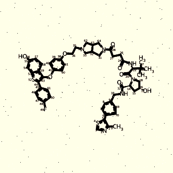 Cc1ncsc1-c1ccc(CNC(=O)[C@@H]2C[C@@H](O)CN2C(=O)[C@@H](NC(=O)CCC(=O)N2CC3CN(CCOc4ccc(Oc5c(-c6ccc(F)cc6)sc6cc(O)ccc56)cc4)CC3C2)C(C)(C)C)cc1